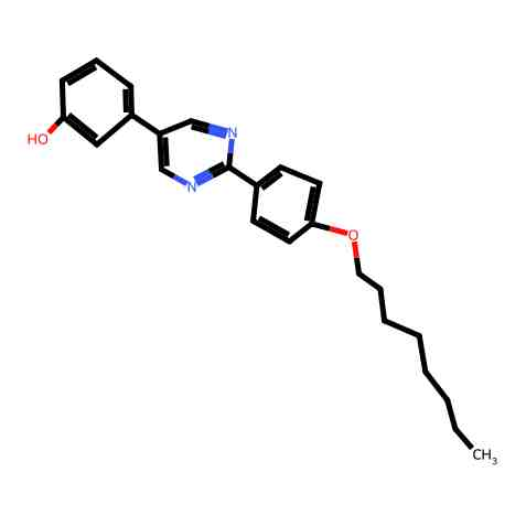 CCCCCCCCOc1ccc(-c2ncc(-c3cccc(O)c3)cn2)cc1